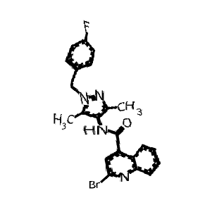 Cc1nn(Cc2ccc(F)cc2)c(C)c1NC(=O)c1cc(Br)nc2ccccc12